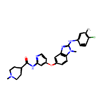 CN1CCC(C(=O)Nc2cc(Oc3ccc4c(c3)nc(Nc3ccc(Cl)c(C(F)(F)F)c3)n4C)ccn2)CC1